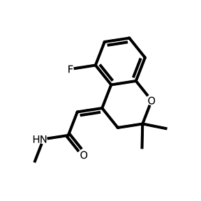 CNC(=O)C=C1CC(C)(C)Oc2cccc(F)c21